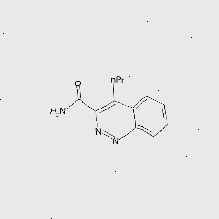 CCCc1c(C(N)=O)nnc2ccccc12